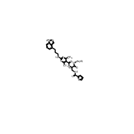 CCCCCOC(=O)C(CNC(=O)c1cccs1)NC(=O)c1c(C)nc(NCCCc2cccc3[nH]ncc23)nc1C